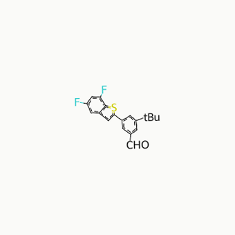 CC(C)(C)c1cc(C=O)cc(-c2cc3cc(F)cc(F)c3s2)c1